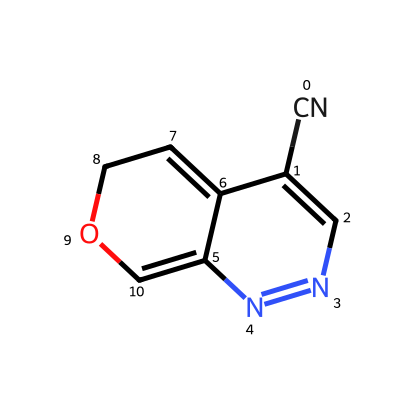 N#Cc1cnnc2c1=CCOC=2